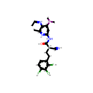 C/C=N\c1c(P(C)C)cc(NC(=O)B(C#N)CCc2ccc(F)c(Cl)c2F)nc1C